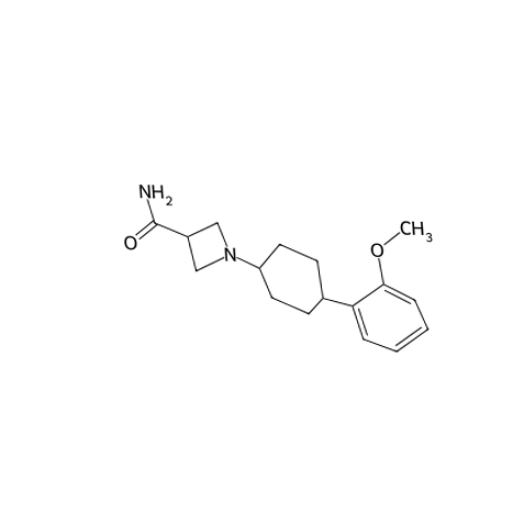 COc1ccccc1C1CCC(N2CC(C(N)=O)C2)CC1